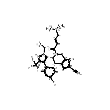 CCn1cc(-c2c(F)cc(F)cc2[C@@H]2CN(C(=O)/C=C/CN(C)C)Cc3sc(C#N)cc32)c(C(F)(F)F)n1